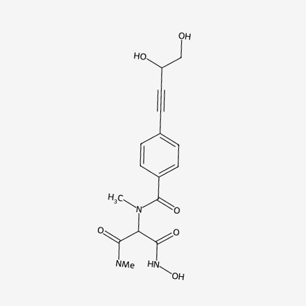 CNC(=O)C(C(=O)NO)N(C)C(=O)c1ccc(C#CC(O)CO)cc1